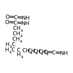 C.C.C.C.C.C.C.C.C.C.N=C=O.N=C=O.N=C=O